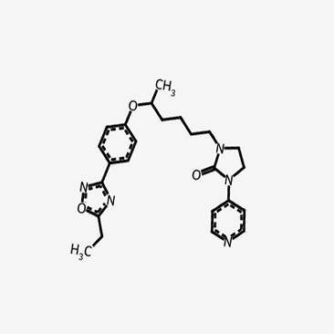 CCc1nc(-c2ccc(OC(C)CCCCN3CCN(c4ccncc4)C3=O)cc2)no1